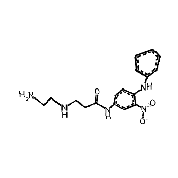 NCCNCCC(=O)Nc1ccc(Nc2ccccc2)c([N+](=O)[O-])c1